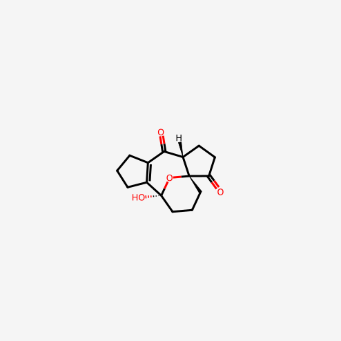 O=C1C2=C(CCC2)[C@]2(O)CCC[C@]3(O2)C(=O)CC[C@@H]13